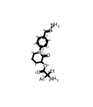 CCC(N)(C(C)=O)C(=O)OC1CCCN(c2ccc(C=NN)cc2)C1=O